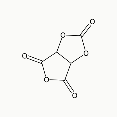 O=C1OC2C(=O)OC(=O)C2O1